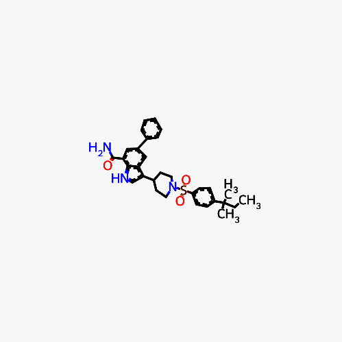 CCC(C)(C)c1ccc(S(=O)(=O)N2CCC(c3c[nH]c4c(C(N)=O)cc(-c5ccccc5)cc34)CC2)cc1